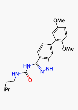 COc1ccc(OC)c(-c2ccc3c(NC(=O)NCCC(C)C)n[nH]c3c2)c1